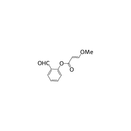 CO/C=C/C(=O)Oc1ccccc1C=O